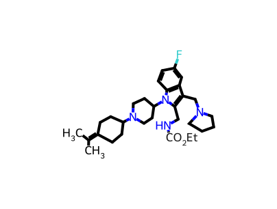 CCOC(=O)NCc1c(CN2CCCC2)c2cc(F)ccc2n1C1CCN(C2CCC(=C(C)C)CC2)CC1